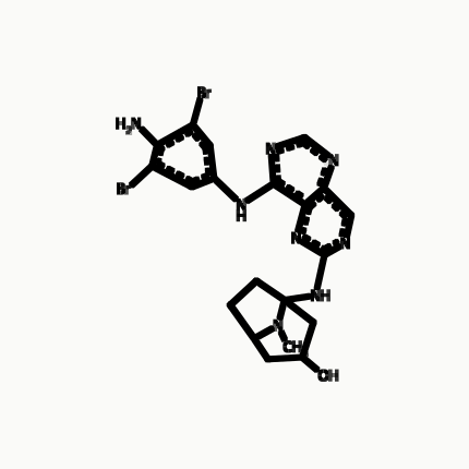 CN1C2CCC1(Nc1ncc3ncnc(Nc4cc(Br)c(N)c(Br)c4)c3n1)CC(O)C2